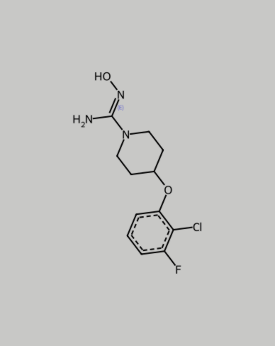 N/C(=N\O)N1CCC(Oc2cccc(F)c2Cl)CC1